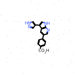 O=C(O)c1ccc(-c2cnc3[nH]cc(-c4cn[nH]c4)c3c2)cc1